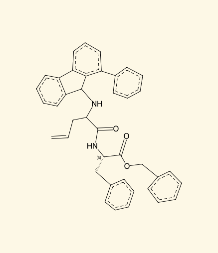 C=CCC(NC1c2ccccc2-c2cccc(-c3ccccc3)c21)C(=O)N[C@@H](Cc1ccccc1)C(=O)OCc1ccccc1